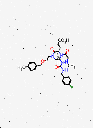 Cc1ccc(COCCN2C[C@H]3N(C(=O)CN(C)N3C(=O)NCc3ccc(F)cc3)[C@@H](CCC(=O)O)C2=O)cc1